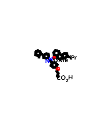 COc1cc(OCCCC(=O)O)ccc1-c1nc2cc(-c3ccccc3C)ccc2n1C[C@@]1(C)CCC[C@]2(C)c3ccc(C(C)C)cc3CC[C@@H]12